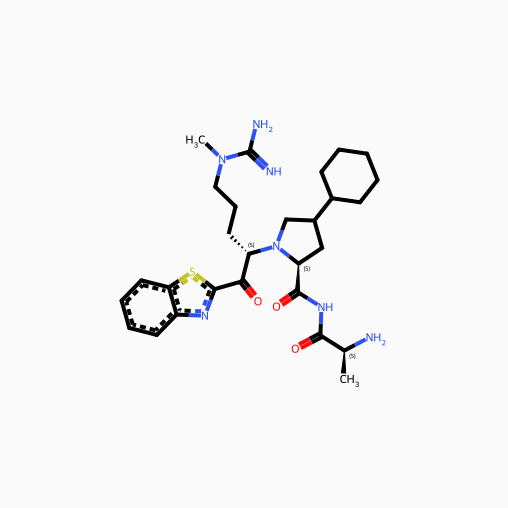 C[C@H](N)C(=O)NC(=O)[C@@H]1CC(C2CCCCC2)CN1[C@@H](CCCN(C)C(=N)N)C(=O)c1nc2ccccc2s1